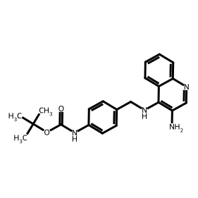 CC(C)(C)OC(=O)Nc1ccc(CNc2c(N)cnc3ccccc23)cc1